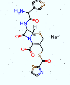 NC(C(=O)NC1C(=O)N2C(C(=O)[O-])=C(CSC(=O)c3nccs3)CS[C@@H]12)c1ccsc1.[Na+]